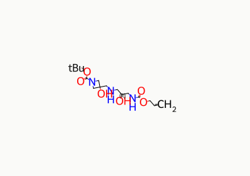 C=CCOC(=O)NC[C@H](O)CNCC1(O)CN(C(=O)OC(C)(C)C)C1